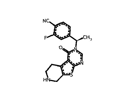 C[C@H](c1ccc(C#N)c(F)c1)n1cnc2sc3c(c2c1=O)CCNC3